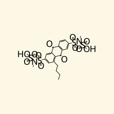 CCCCc1cc(S(=O)(=O)N(C)S(=O)(=O)O)cc2c1C(=O)c1cc(S(=O)(=O)N(C)S(=O)(=O)O)ccc1C2=O